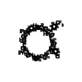 CC[C@H](C)[C@@H]1NC(=O)[C@H](CC(C)C)N(C)C(=O)C[C@@H](C)NC(=O)[C@H](CC(C)C)N(C)C(=O)C2(CCCC2)NC(=O)[C@@H]2CCCN2C(=O)[C@H](CCc2ccc(C(F)(F)F)cc2)NC(=O)CN(C)C(=O)[C@H](Cc2ccc(Cl)cc2)N(C)C(=O)CN(C)C(=O)CN(C)C1=O